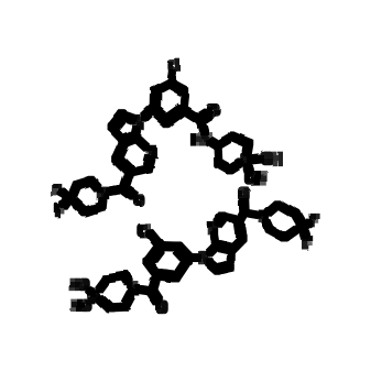 O=C(NC1CCS(O)(O)CC1)c1cc(Cl)cc(-n2ccc3cc(C(=O)N4CCC(F)(F)CC4)cnc32)c1.O=C(c1cnc2c(ccn2-c2cc(Cl)cc(C(=O)N3CCS(O)(O)CC3)c2)c1)N1CCC(F)(F)CC1